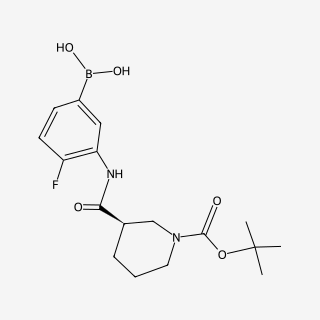 CC(C)(C)OC(=O)N1CCC[C@@H](C(=O)Nc2cc(B(O)O)ccc2F)C1